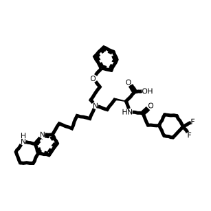 O=C(CC1CCC(F)(F)CC1)N[C@@H](CCN(CCCCc1ccc2c(n1)NCCC2)CCOc1ccccc1)C(=O)O